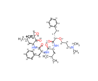 CC(C)C[C@H](NC(=O)[C@H](CCc1ccccc1)OCCCN(C)C)C(=O)N[C@@H](Cc1ccccc1)C(=O)N[C@@H](CC(C)C)C(=O)[C@@]1(C)CO1